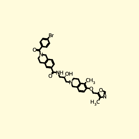 Cc1ncoc1COc1ccc2c(c1C)CCN(C[C@@H](O)CNC(=O)c1ccc3c(c1)CCN(C(=O)c1ccc(Br)cc1)C3)C2